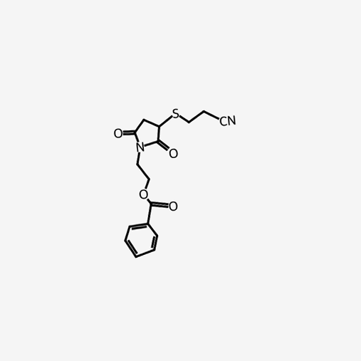 N#CCCSC1CC(=O)N(CCOC(=O)c2ccccc2)C1=O